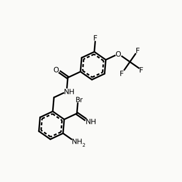 N=C(Br)c1c(N)cccc1CNC(=O)c1ccc(OC(F)(F)F)c(F)c1